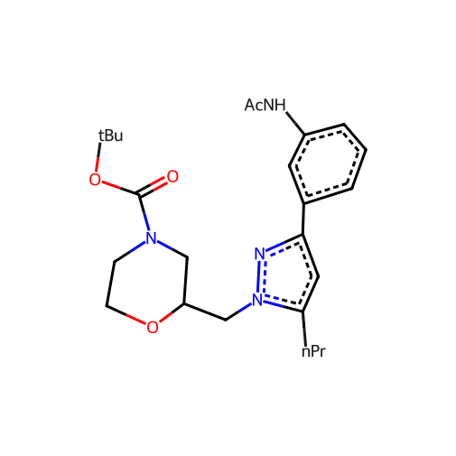 CCCc1cc(-c2cccc(NC(C)=O)c2)nn1CC1CN(C(=O)OC(C)(C)C)CCO1